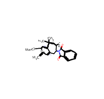 C=C/C=C1/CC(N2C(=O)c3ccccc3C2=O)C(C)CC(C)(C)/C1=C/C(C)OC